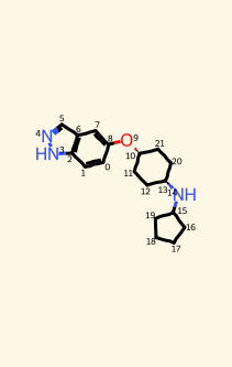 c1cc2[nH]ncc2cc1O[C@H]1CC[C@H](NC2CCCC2)CC1